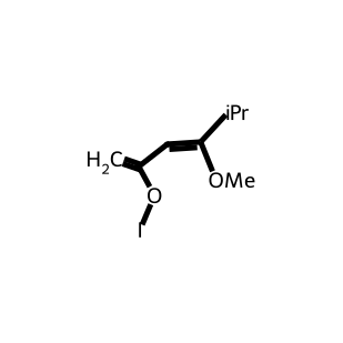 C=C(/C=C(\OC)C(C)C)OI